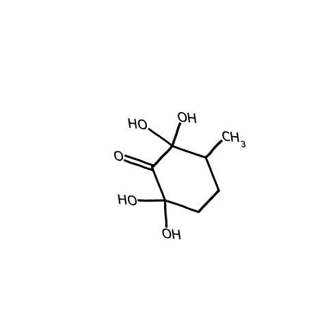 CC1CCC(O)(O)C(=O)C1(O)O